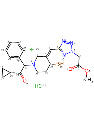 COC(=O)Cn1nnc(C=C2CN(C(C(=O)C3CC3)c3ccccc3F)CCC2S)n1.Cl